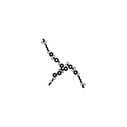 C=CC(=O)OCCCCCCOc1ccc(OC(=O)C2CCC(COc3cccc(-c4nc5cc(-c6cccc(OCCOCCC)c6)ccc5nc4-c4cccc(OC(=O)C5CCC(C(=O)Oc6ccc(OCCCCCCOC(=O)C=C)cc6)CC5)c4)c3)CC2)cc1